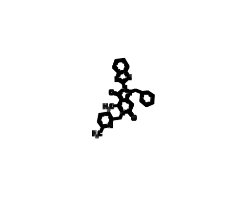 Cc1c2c(=O)n(-c3nc4ccccc4s3)n(Cc3ccccc3)c2cc(=O)n1Cc1cccc(C(F)(F)F)n1